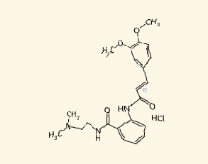 COc1ccc(/C=C/C(=O)Nc2ccccc2C(=O)NCCN(C)C)cc1OC.Cl